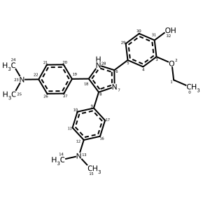 CCOc1cc(-c2nc(-c3ccc(N(C)C)cc3)c(-c3ccc(N(C)C)cc3)[nH]2)ccc1O